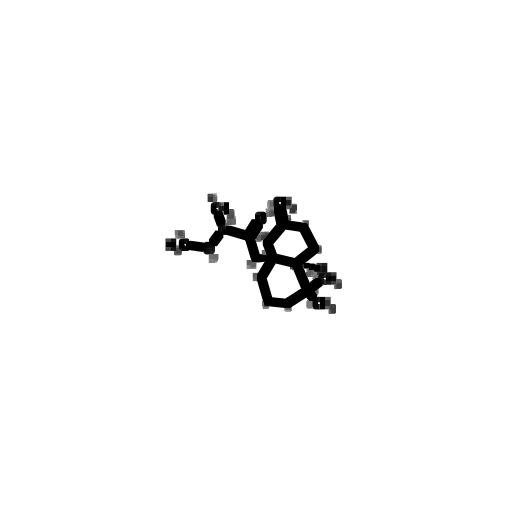 C=C1CC[C@H]2C(C)(C)CCC[C@]2(CC(=O)N(C)OC)C1